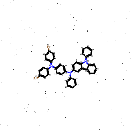 Brc1ccc(N(c2ccc(Br)cc2)c2ccc(N(c3ccccc3)c3ccc4c(c3)c3ccccc3n4-c3ccccc3)cc2)cc1